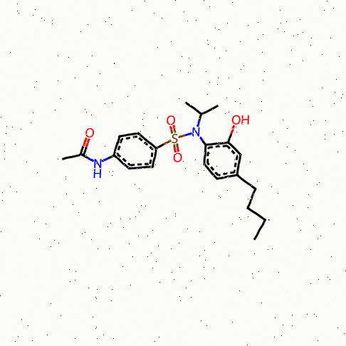 C[CH]CCc1ccc(N(C(C)C)S(=O)(=O)c2ccc(NC(C)=O)cc2)c(O)c1